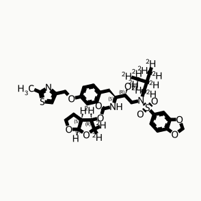 [2H]C([2H])([2H])C([2H])(C([2H])([2H])[2H])C([2H])([2H])N(C[C@@H](O)[C@H](Cc1ccc(OCc2csc(C)n2)cc1)NC(=O)O[C@]1([2H])[C@@H]2CCO[C@@H]2OC1([2H])[2H])S(=O)(=O)c1ccc2c(c1)OCO2